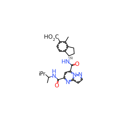 Cc1c(C(=O)O)ccc2c1CC[C@@H]2NC(=O)c1cc(C(=O)NC(C)C(C)C)nc2ccnn12